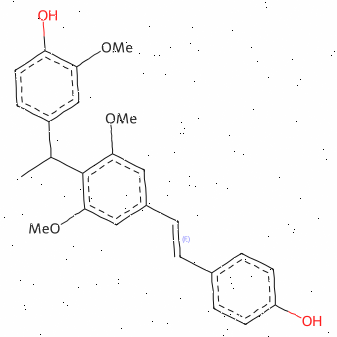 COc1cc(C(C)c2c(OC)cc(/C=C/c3ccc(O)cc3)cc2OC)ccc1O